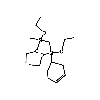 CCO[Si](C)(C[Si](OCC)(OCC)C1CC=CCC1)OCC